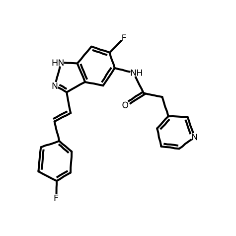 O=C(Cc1cccnc1)Nc1cc2c(C=Cc3ccc(F)cc3)n[nH]c2cc1F